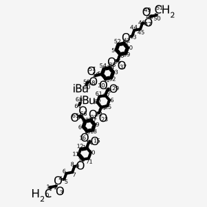 C=CC(=O)OCCCCOC1=CC=C(C(=O)Oc2ccc(OC(=O)C3CCC(C(=O)Oc4ccc(OC(=O)c5ccc(OCCCCOC(=O)C=C)cc5)cc4C(=O)OCC(C)CC)CC3)c(C(=O)OCC(C)CC)c2)CC1